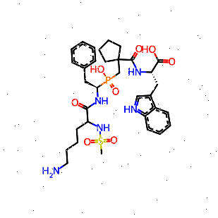 CS(=O)(=O)NC(CCCCN)C(=O)N[C@@H](Cc1ccccc1)P(=O)(O)CC1(C(=O)N[C@@H](Cc2c[nH]c3ccccc23)C(=O)O)CCCC1